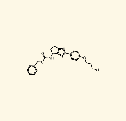 O=C(NC1CCc2sc(-c3ccc(OCCCCl)cc3)nc21)OCc1ccccc1